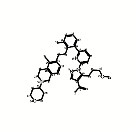 C=C(C)c1cnn(-c2cccc(-c3cccc(C)c3CCc3ccc4c(c3C)CCN(C3CCOCC3)C4)n2)c1CCCOC